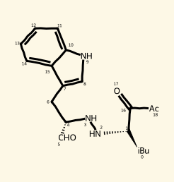 CC[C@H](C)[C@H](NN[C@H](C=O)Cc1c[nH]c2ccccc12)C(=O)C(C)=O